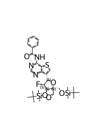 CC(C)(C)[Si](C)(C)OC[C@@]1(C=O)O[C@@H](c2csc3c(NC(=O)c4ccccc4)ncnc23)[C@H](F)[C@@H]1O[Si](C)(C)C(C)(C)C